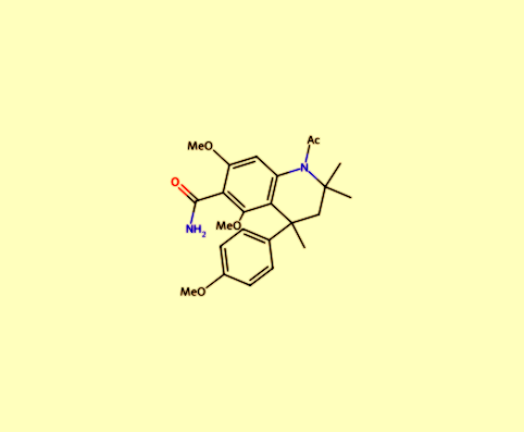 COc1ccc(C2(C)CC(C)(C)N(C(C)=O)c3cc(OC)c(C(N)=O)c(OC)c32)cc1